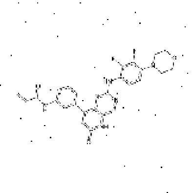 C=CC(=O)Nc1cccc(-c2cc(=O)[nH]c3cnc(Nc4ccc(N5CCOCC5)c(F)c4F)nc23)c1